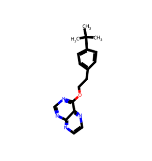 CC(C)(C)c1ccc(CCOc2ncnc3nccnc23)cc1